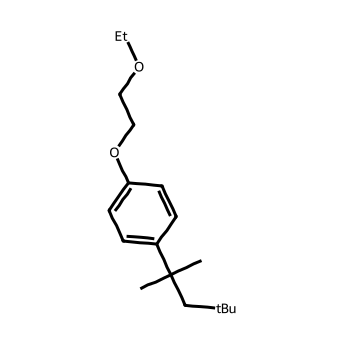 CCOCCOc1ccc(C(C)(C)CC(C)(C)C)cc1